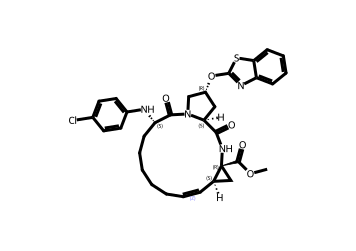 COC(=O)[C@@]12C[C@H]1/C=C\CCCCC[C@H](Nc1ccc(Cl)cc1)C(=O)N1C[C@H](Oc3nc4ccccc4s3)C[C@H]1C(=O)N2